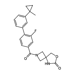 CC1(c2cccc(-c3ccc(C(=O)N4CC5(COC(=O)N5)C4)cc3F)c2)CC1